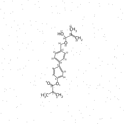 C=C(C)C(=O)Oc1ccc(-c2ccc(COC(O)C(=C)C)cc2)cc1